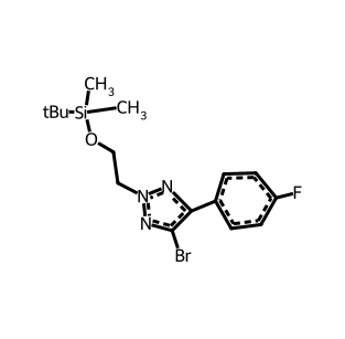 CC(C)(C)[Si](C)(C)OCCn1nc(Br)c(-c2ccc(F)cc2)n1